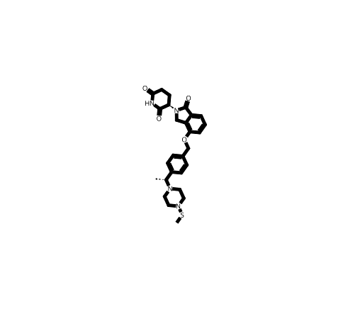 CSN1CCN([C@H](C)c2ccc(COc3cccc4c3CN([C@H]3CCC(=O)NC3=O)C4=O)cc2)CC1